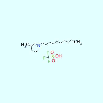 CCCCCCCCCCN1CCCC(C)C1.O=S(=O)(O)C(F)(F)F